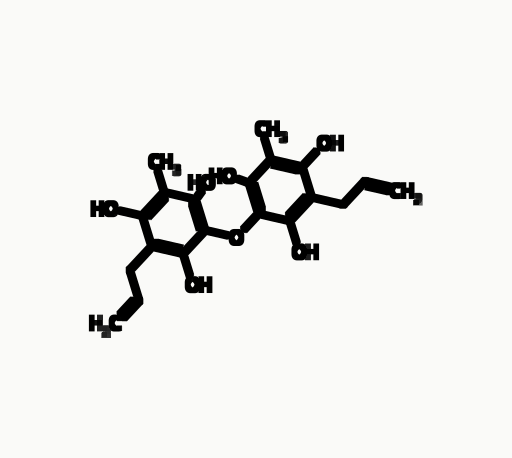 C=CCc1c(O)c(C)c(O)c(Oc2c(O)c(C)c(O)c(CC=C)c2O)c1O